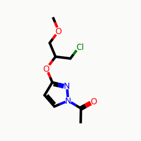 COCC(CCl)Oc1ccn(C(C)=O)n1